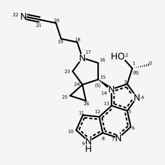 C[C@@H](O)c1nc2cnc3[nH]ccc3c2n1[C@@H]1CN(CCCC#N)CC12CC2